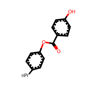 CCCc1ccc(OC(=O)c2ccc(O)cc2)cc1